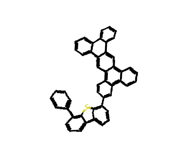 c1ccc(-c2cccc3c2sc2c(-c4ccc5c(c4)c4ccccc4c4cc6c7ccccc7c7ccccc7c6cc54)cccc23)cc1